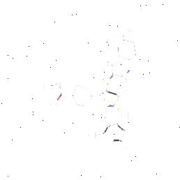 C=N/C(=N\c1c(C)nc(Nc2c(Cl)cc(Cl)cc2Cl)n1[C@H]1CC[C@@H](C(N)=O)CC1)N[C@H]1CCC[C@H](O)C1